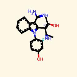 CC(=N)/C(=C(/C)O)c1c(C(=N)N)c2ccccc2n1-c1ccc(O)cc1F